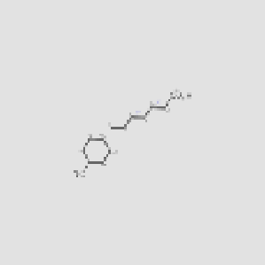 N#C[C@H]1CC[C@H](CC/C=C/C=C/C(=O)O)CC1